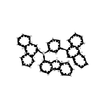 c1cc(-c2cc3ccccc3c3ccccc23)cc(N(c2cc3ccccc3c3ccccc23)c2cccc3c2sc2ccccc23)c1